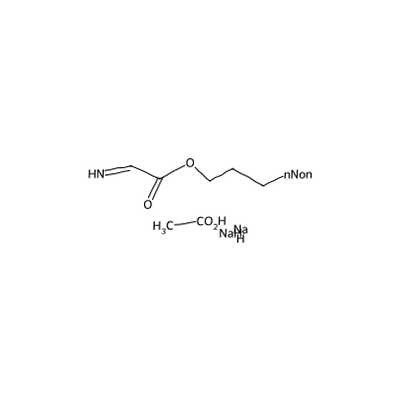 CC(=O)O.CCCCCCCCCCCCOC(=O)C=N.[NaH].[NaH]